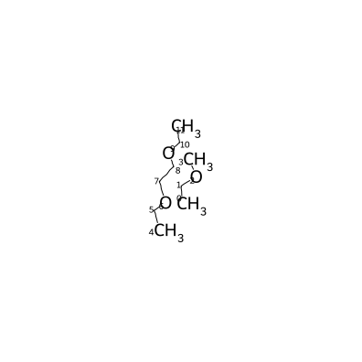 CCOC.CCOCCOCC